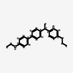 CCCc1ccc(C(C)c2ccc(-c3ccc(OCC)cc3)cc2)nc1